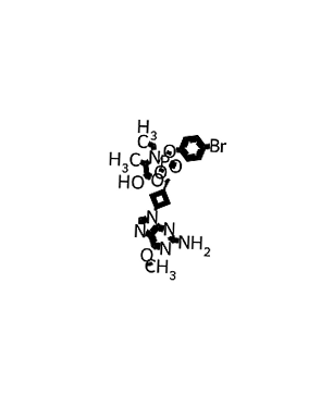 CCN(C(C)C(=O)O)P(=O)(OC[C@H]1C[C@@H](n2cnc3c(OC)nc(N)nc32)C1)Oc1ccc(Br)cc1